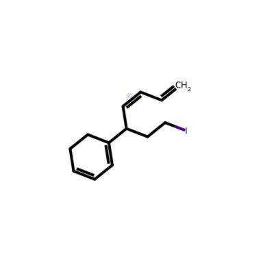 C=C/C=C\C(CCI)C1=CC=CCC1